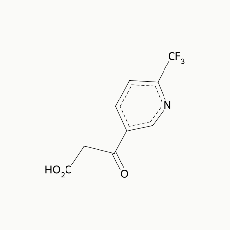 O=C(O)CC(=O)c1ccc(C(F)(F)F)nc1